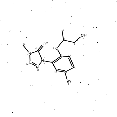 CC(CO)Oc1ccc(C(C)C)cc1-n1nnn(C)c1=O